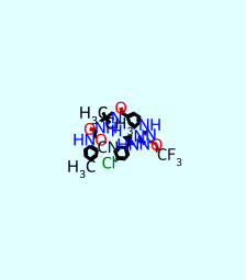 Cc1ccc(NC(=O)C(=O)NCC(C)(C)CNC(=O)c2ccc(Nc3nc(NC4(c5ccc(Cl)cc5)CC4)nc(OCC(F)(F)F)n3)cc2)c(C#N)c1